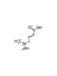 CCCN(C)C/C=C/C(=O)C(C)C